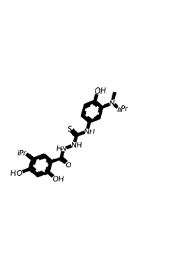 CCCN(C)c1cc(NC(=S)NNC(=O)c2cc(C(C)C)c(O)cc2O)ccc1O